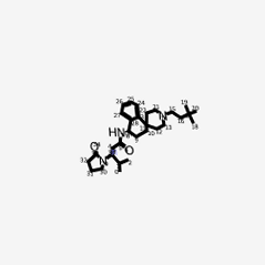 CC(C)/C(=C\C(=O)N[C@H]1CCC2(CCN(CCC(C)(C)C)CC2)c2ccccc21)N1CCCC1=O